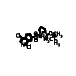 CC(C)(C)OC(=O)[C@H]1CCCN1NS(=O)(=O)c1ccc2c(Cl)cnc(Cl)c2c1